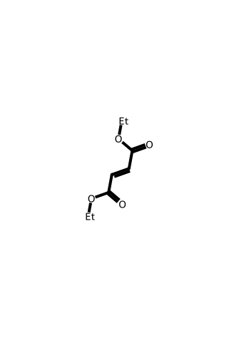 CCOC(=O)C=CC(=O)OCC